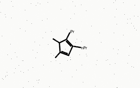 CCCC1=C(C(C)C)C(C)C(C)=C1